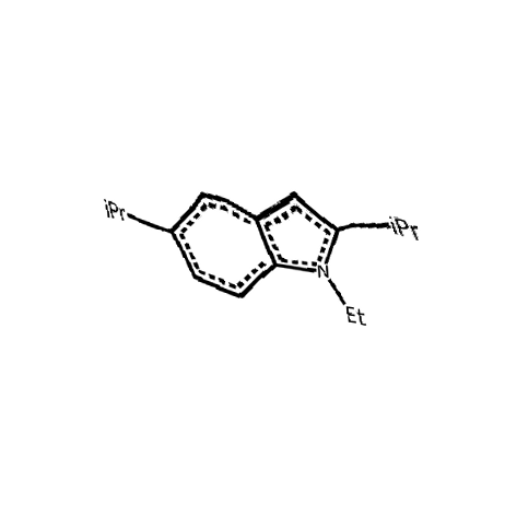 CCn1c(C(C)C)cc2cc(C(C)C)ccc21